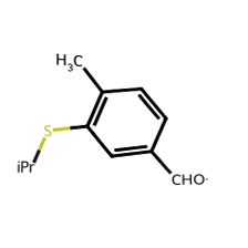 Cc1ccc([C]=O)cc1SC(C)C